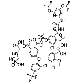 COc1c(Cl)ccc(Cl)c1C(=O)O.CS(=O)(=O)NC(=O)c1cc(Oc2ccc(C(F)(F)F)cc2Cl)ccc1[N+](=O)[O-].O=C(Nc1nc(OC(F)F)cc(OC(F)F)n1)NS(=O)(=O)c1ccccc1C(=O)O.O=C(O)CNCP(=O)(O)O